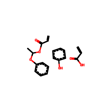 C=CC(=O)O.C=CC(=O)OC(C)Oc1ccccc1.Oc1ccccc1